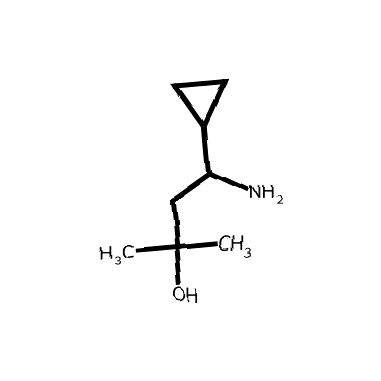 CC(C)(O)CC(N)C1CC1